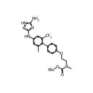 Cc1cc(Nc2n[nH]c(N)n2)cc(C(F)(F)F)c1-c1ccc(OCCN(C)C(=O)OC(C)(C)C)cc1